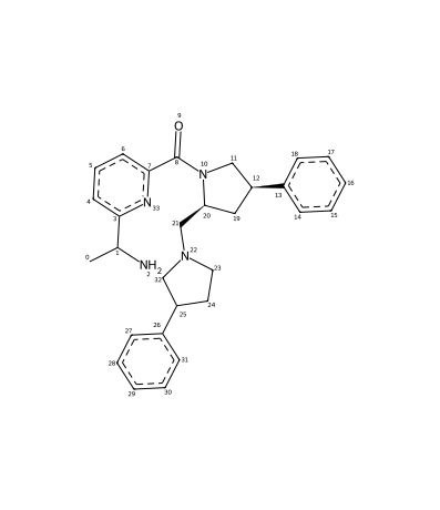 CC(N)c1cccc(C(=O)N2C[C@@H](c3ccccc3)C[C@H]2CN2CCC(c3ccccc3)C2)n1